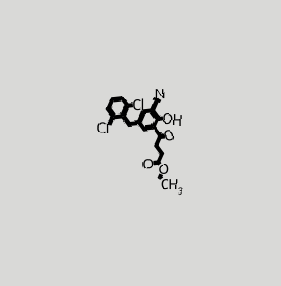 CCOC(=O)CCC(=O)c1cc(Cc2c(Cl)cccc2Cl)cc(C#N)c1O